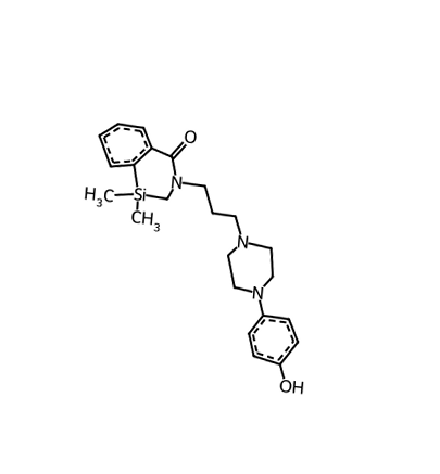 C[Si]1(C)CN(CCCN2CCN(c3ccc(O)cc3)CC2)C(=O)c2ccccc21